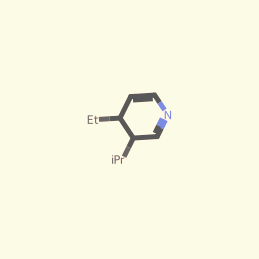 CCC1C=CN=CC1C(C)C